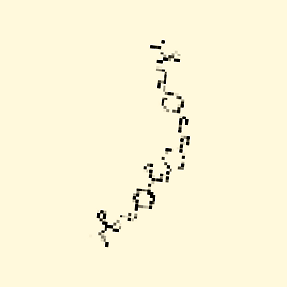 C=C(C)C(=O)OCOc1ccc(OCOC2CCC(OC(=O)c3ccc(OCOC(=O)C(=C)C)cc3)CC2)cc1